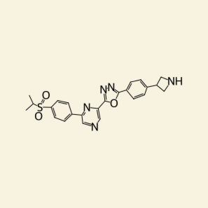 CC(C)S(=O)(=O)c1ccc(-c2cncc(-c3nnc(-c4ccc(C5CNC5)cc4)o3)n2)cc1